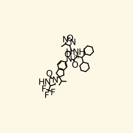 Cc1nonc1C(=O)N[C@H](C(=O)Nc1ccc2c(c1)CC(C(C)C)(N1CC(C(F)(F)F)NC1=O)C2)C(C1CCCCC1)C1CCCCC1